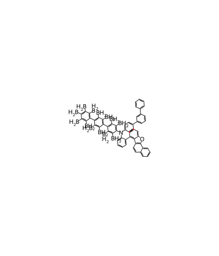 Bc1c(B)c(B)c(-c2c(B)c(B)c(-c3c(B)c(B)c(N(c4ccc(-c5cccc(-c6ccccc6)c5)cc4)c4ccccc4-c4cccc5oc6c7ccccc7ccc6c45)c(B)c3B)c(B)c2B)c(B)c1B